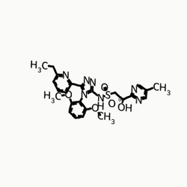 CCc1cccc(-c2nnc(NS(=O)(=O)C[C@H](O)c3ncc(C)cn3)n2-c2c(OC)cccc2OC)n1